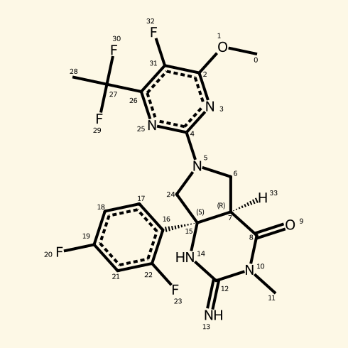 COc1nc(N2C[C@H]3C(=O)N(C)C(=N)N[C@@]3(c3ccc(F)cc3F)C2)nc(C(C)(F)F)c1F